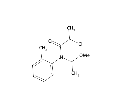 COC(C)N(C(=O)C(C)Cl)c1ccccc1C